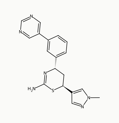 Cn1cc([C@@H]2C[C@@H](c3cccc(-c4cncnc4)c3)N=C(N)S2)cn1